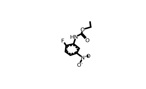 CCOC(=O)Nc1cc([N+](=O)[O-])ccc1F